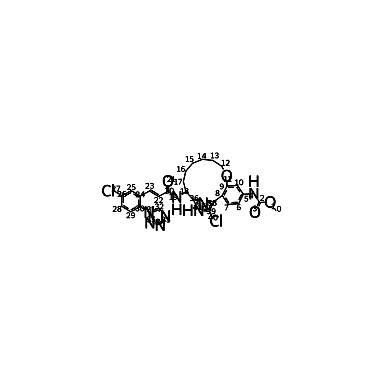 COC(=O)Nc1ccc2c(c1)OCCCCCC[C@H](NC(=O)/C=C/c1cc(Cl)ccc1-n1cnnn1)c1nc-2c(Cl)[nH]1